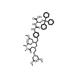 COC(=O)CN(CCN(CC(=O)OC)CC(Cc1ccc(NC(=S)NC(CSC(c2ccccc2)(c2ccccc2)c2ccccc2)C(=O)O)cc1)N(CC(=O)OC)CC(=O)OC)CC(=O)OC